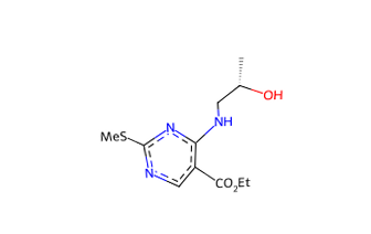 CCOC(=O)c1cnc(SC)nc1NC[C@H](C)O